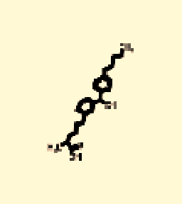 CCCCCc1ccc(C(O)c2cccc(C=CCCC(C)C(=O)O)c2)cc1